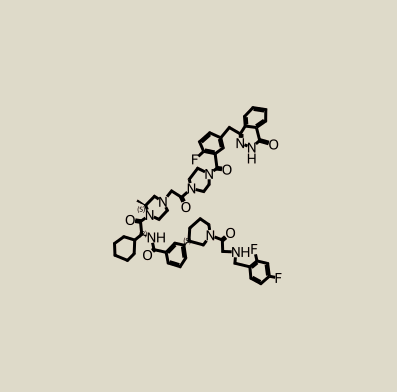 C[C@H]1CN(CC(=O)N2CCN(C(=O)c3cc(Cc4n[nH]c(=O)c5ccccc45)ccc3F)CC2)CCN1C(=O)[C@H](NC(=O)c1cccc([C@@H]2CCCN(C(=O)CNCc3ccc(F)cc3F)C2)c1)C1CCCCC1